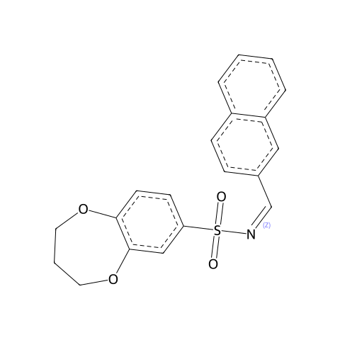 O=S(=O)(/N=C\c1ccc2ccccc2c1)c1ccc2c(c1)OCCCO2